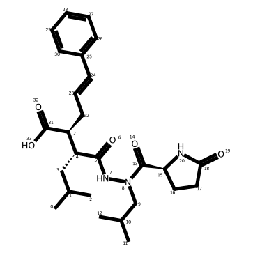 CC(C)C[C@@H](C(=O)NN(CC(C)C)C(=O)[C@@H]1CCC(=O)N1)[C@H](CC=Cc1ccccc1)C(=O)O